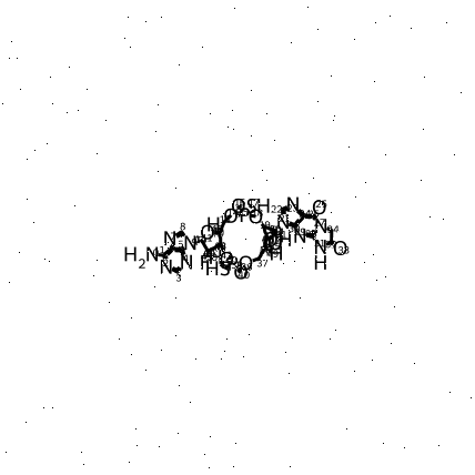 Nc1ncnc2c1ncn2[C@@H]1O[C@@H]2COP(=O)(S)OC3[C@H](n4cnc5c(=O)n6c(nc54)NC(=O)C6)O[C@H](COP(=O)(S)O[C@H]2[C@@H]1F)[C@H]3O